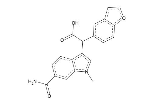 Cn1cc(C(C(=O)O)c2ccc3occc3c2)c2ccc(C(N)=O)cc21